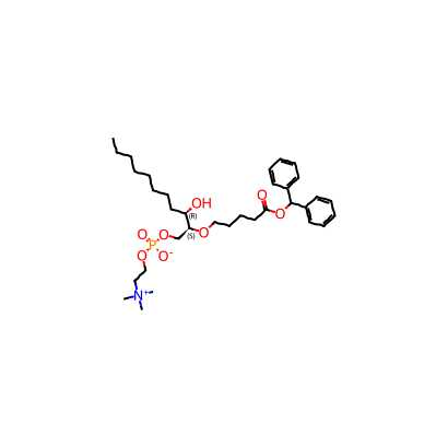 CCCCCCCC[C@@H](O)[C@H](COP(=O)([O-])OCC[N+](C)(C)C)OCCCCC(=O)OC(c1ccccc1)c1ccccc1